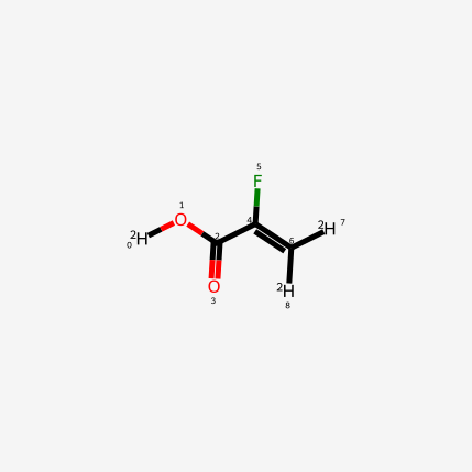 [2H]OC(=O)C(F)=C([2H])[2H]